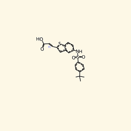 CC(C)(C)c1ccc(S(=O)(=O)Nc2ccc3sc(/C=C/C(=O)O)cc3c2)cc1